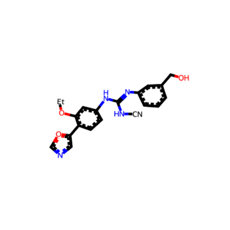 CCOc1cc(NC(=Nc2cccc(CO)c2)NC#N)ccc1-c1cnco1